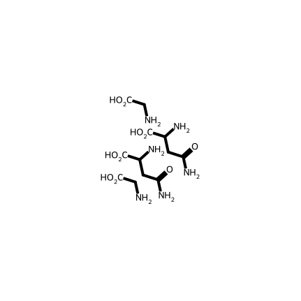 NC(=O)CC(N)C(=O)O.NC(=O)CC(N)C(=O)O.NCC(=O)O.NCC(=O)O